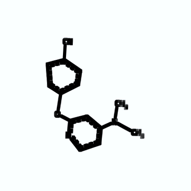 CN(C)c1ccnc(Oc2ccc(C#N)cc2)c1